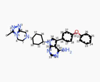 Cc1nnc2n1CCN([C@H]1CC[C@H](n3cc(-c4ccc(Oc5ccccc5)cc4)c4c(N)ncnc43)CC1)C2